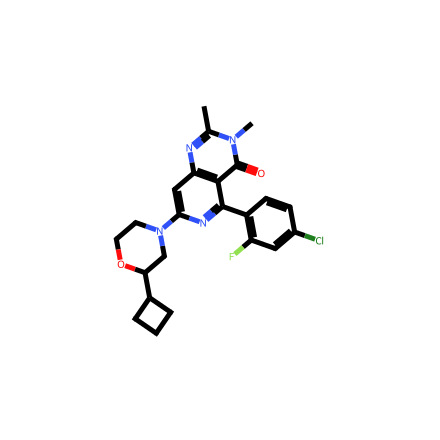 Cc1nc2cc(N3CCOC(C4CCC4)C3)nc(-c3ccc(Cl)cc3F)c2c(=O)n1C